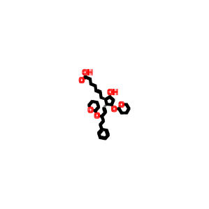 O=C(O)CCCC=CC[C@@H]1[C@@H](C=CC(CCc2ccccc2)OC2CCCCO2)[C@H](OC2CCCCO2)C[C@@H]1O